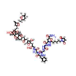 C=C1C[C@H](CC[C@]23CC(O)[C@H](O2)C2O[C@H]4CC[C@H](CC(=O)C[C@@H]5[C@@H](OC)[C@@H](C[C@H](O)CNC(=O)CNC(=O)[C@H](Cc6ccccc6)NC(=O)CNC(=O)CNC(=O)C(CCC(N)=O)NC(=O)CCCCCN6C(=O)C=CC6=O)O[C@H]5C)O[C@@H]4[C@H](O3)C2C)O[C@H]1CC[C@H]1C[C@@H](C)C(=C)[C@@H](C)O1